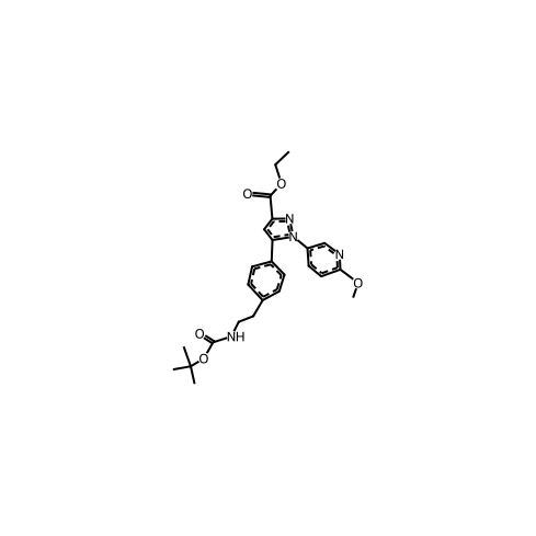 CCOC(=O)c1cc(-c2ccc(CCNC(=O)OC(C)(C)C)cc2)n(-c2ccc(OC)nc2)n1